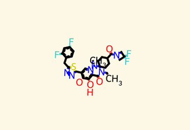 CCN1C(=O)c2c(O)c(=O)c(-c3nnc(Cc4ccc(F)cc4F)s3)cn2N(C)C12CCC(C(=O)N1CC(F)(F)C1)CC2